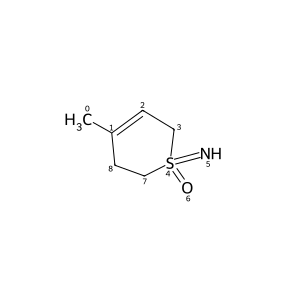 CC1=CCS(=N)(=O)CC1